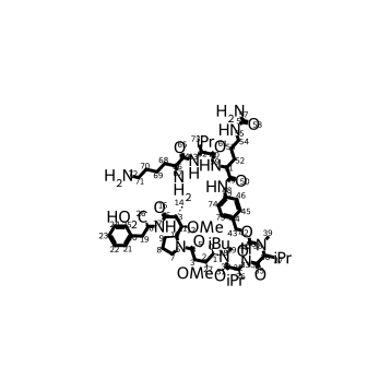 CC[C@H](C)[C@@H]([C@@H](CC(=O)N1CCC[C@H]1[C@H](OC)[C@@H](C)C(=O)N[C@@H](Cc1ccccc1)C(=O)O)OC)N(C)C(=O)[C@@H](NC(=O)C(C(C)C)N(C)C(=O)OCc1ccc(NC(=O)C(CCCNC(N)=O)NC(=O)C(NC(=O)C(N)CCCCN)C(C)C)cc1)C(C)C